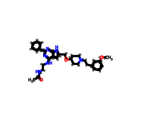 COc1cccc(CCN2CCC(OCc3cc4c(NCCNC(C)=O)nc(-c5ccccc5)nc4[nH]3)CC2)c1